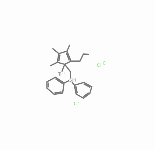 CCCC1=C(C)C(C)=C(C)[C]1([Ti+3])C[SiH](c1ccccc1)c1ccccc1.[Cl-].[Cl-].[Cl-]